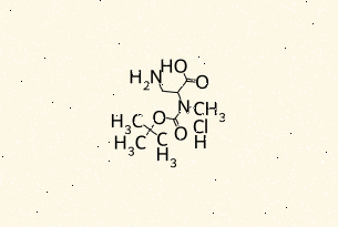 CN(C(=O)OC(C)(C)C)C(CN)C(=O)O.Cl